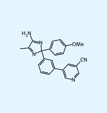 COc1ccc(C2(c3cccc(-c4cncc(C#N)c4)c3)N=C(C)C(N)=N2)cc1